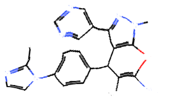 Cc1nccn1-c1ccc(C2C(C#N)=C(N)Oc3c2c(-c2cncnc2)nn3C)cc1